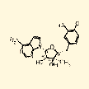 C[C@@]1(O)[C@@H](Cc2ccc(Cl)c(Cl)c2)O[C@@H](n2ccc3c(N)ncnc32)[C@@H]1O